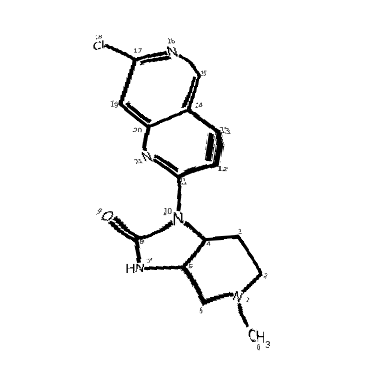 CN1CCC2C(C1)NC(=O)N2c1ccc2cnc(Cl)cc2n1